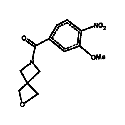 COc1cc(C(=O)N2CC3(COC3)C2)ccc1[N+](=O)[O-]